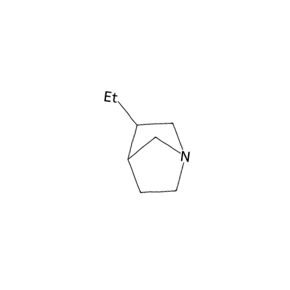 CCC1CN2CCC1C2